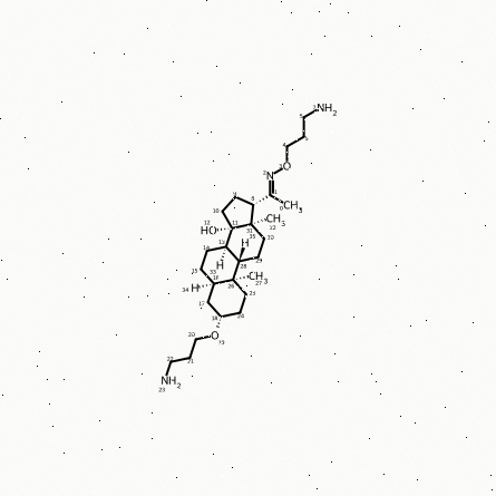 C/C(=N\OCCCN)[C@H]1CC[C@]2(O)[C@@H]3CC[C@@H]4C[C@@H](OCCCN)CC[C@]4(C)[C@H]3CC[C@]12C